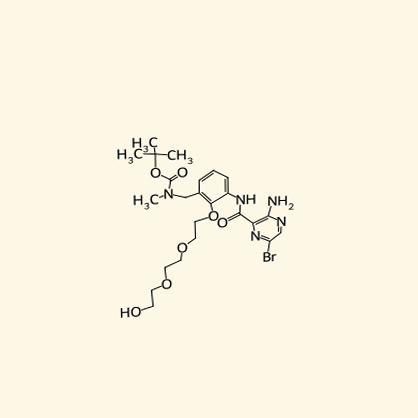 CN(Cc1cccc(NC(=O)c2nc(Br)cnc2N)c1OCCOCCOCCO)C(=O)OC(C)(C)C